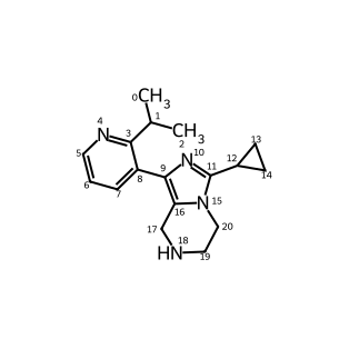 CC(C)c1ncccc1-c1nc(C2CC2)n2c1CNCC2